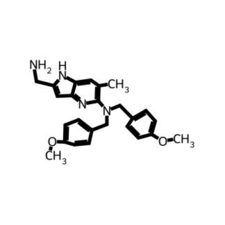 COc1ccc(CN(Cc2ccc(OC)cc2)c2nc3cc(CN)[nH]c3cc2C)cc1